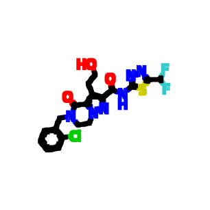 O=C(Nc1nnc(C(F)F)s1)c1nn2c(c1CCO)C(=O)N(Cc1ccccc1Cl)CC2